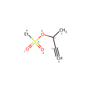 C#CC(C)OS(=O)(=O)CC